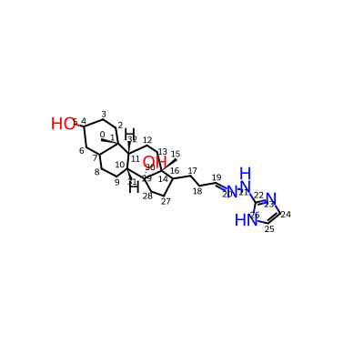 C[C@]12CCC(O)CC1CC[C@@H]1[C@H]2CC[C@]2(C)C(CC/C=N/Nc3ncc[nH]3)CC[C@@]12O